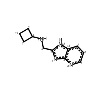 c1cnc2nc(CNC3CCC3)[nH]c2c1